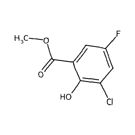 COC(=O)c1cc(F)cc(Cl)c1O